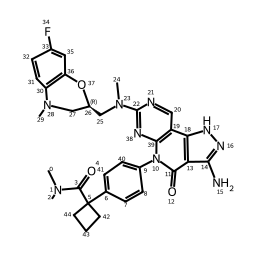 CN(C)C(=O)C1(c2ccc(-n3c(=O)c4c(N)n[nH]c4c4cnc(N(C)C[C@H]5CN(C)c6ccc(F)cc6O5)nc43)cc2)CCC1